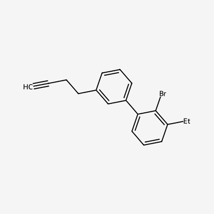 C#CCCc1cccc(-c2cccc(CC)c2Br)c1